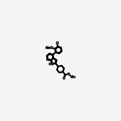 COc1c(Cl)cccc1-c1ccnc2[nH]c(C3CCN(C(=O)OC(C)(C)C)CC3)cc12